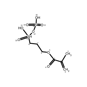 C=C(C)C(=O)OCCC[SH](=O)(O)OS(=O)(=O)O